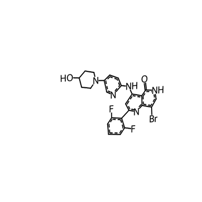 O=c1[nH]cc(Br)c2nc(-c3c(F)cccc3F)cc(Nc3ccc(N4CCC(O)CC4)cn3)c12